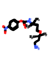 CC(C)(CCOC(C)(C)CCN)NC(=O)Oc1ccc([N+](=O)[O-])cc1